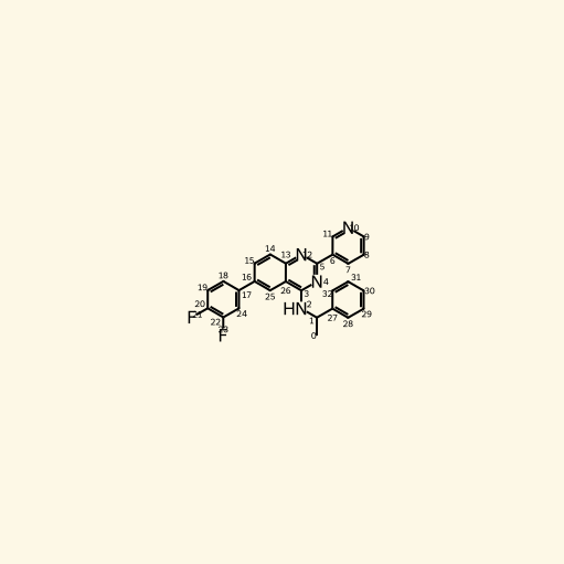 CC(Nc1nc(-c2cccnc2)nc2ccc(-c3ccc(F)c(F)c3)cc12)c1ccccc1